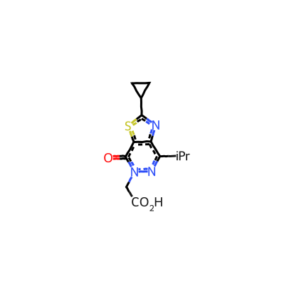 CC(C)c1nn(CC(=O)O)c(=O)c2sc(C3CC3)nc12